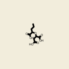 CCCC(OC(CC(=O)O)C(=O)O)C(=O)O